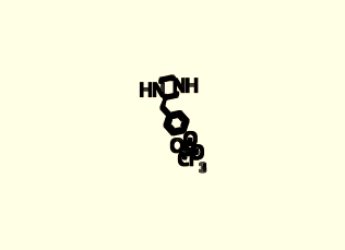 O=S(=O)(Oc1ccc(C[C@@H]2CNCCN2)cc1)C(F)(F)F